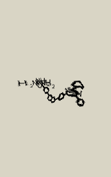 NC(N)OC(N)c1ccc(-c2ccc3ccc(-c4ccc(-c5cc(-c6ccccc6)nc(-c6ccccc6)n5)cc4)cc3c2)cc1